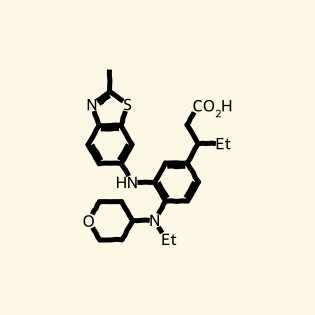 CCC(CC(=O)O)c1ccc(N(CC)C2CCOCC2)c(Nc2ccc3nc(C)sc3c2)c1